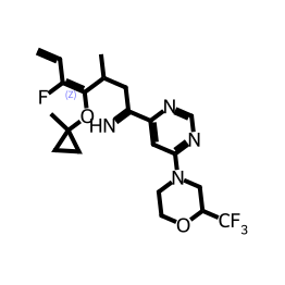 C=C/C(F)=C(/OC1(C)CC1)C(C)CC(=N)c1cc(N2CCOC(C(F)(F)F)C2)ncn1